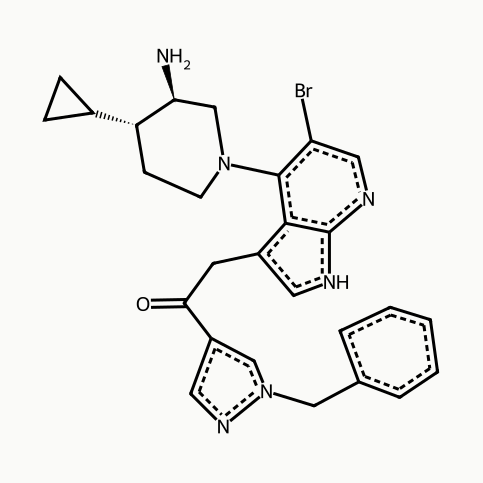 N[C@H]1CN(c2c(Br)cnc3[nH]cc(CC(=O)c4cnn(Cc5ccccc5)c4)c23)CC[C@@H]1C1CC1